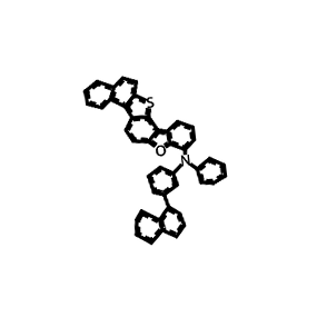 c1ccc(N(c2cccc(-c3cccc4ccccc34)c2)c2cccc3c2oc2ccc4c(sc5ccc6ccccc6c54)c23)cc1